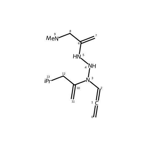 C=C=CN(NNC(=C)CNC)C(=C)CC(C)C